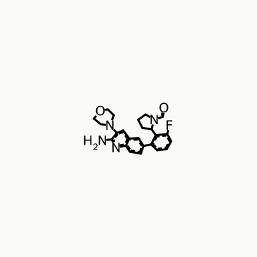 Nc1nc2ccc(-c3cccc(F)c3C3CCCN3C=O)cc2cc1N1CCOCC1